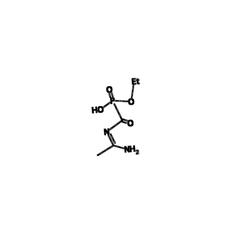 CCOP(=O)(O)C(=O)N=C(C)N